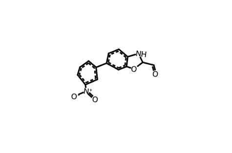 O=CC1Nc2ccc(-c3cccc([N+](=O)[O-])c3)cc2O1